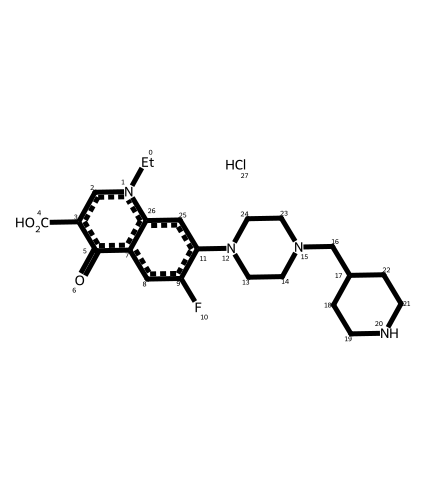 CCn1cc(C(=O)O)c(=O)c2cc(F)c(N3CCN(CC4CCNCC4)CC3)cc21.Cl